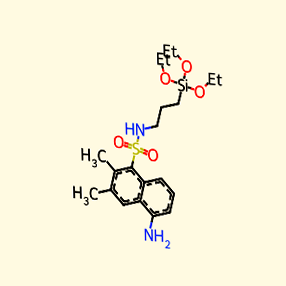 CCO[Si](CCCNS(=O)(=O)c1c(C)c(C)cc2c(N)cccc12)(OCC)OCC